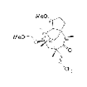 COCO[C@@H]1C[C@@](C)(C=CC(F)(F)F)C(=O)[C@H](C)C23CC[C@@H](C)[C@]1(C)C2[C@H](OC)CC3